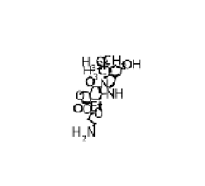 CCC1(OC(=O)CCN)C(=O)OCC2=C1CC1=C(C2=O)N2Cc3c(cc(O)cc3[Si](C)(C)C)C=C2N1